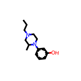 CCCN1CCN(c2cccc(O)c2)C(C)C1